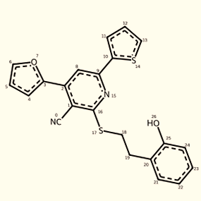 N#Cc1c(-c2ccco2)cc(-c2cccs2)nc1SCCc1ccccc1O